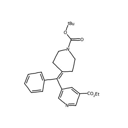 CCOC(=O)c1cncc(C(=C2CCN(C(=O)OC(C)(C)C)CC2)c2ccccc2)c1